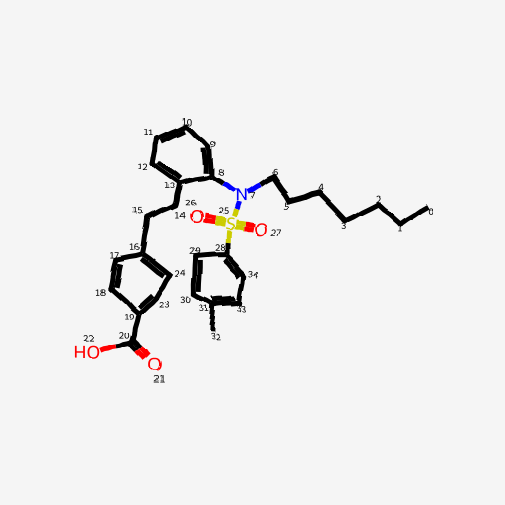 CCCCCCCN(c1ccccc1CCc1ccc(C(=O)O)cc1)S(=O)(=O)c1ccc(C)cc1